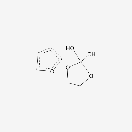 OC1(O)OCCO1.c1ccoc1